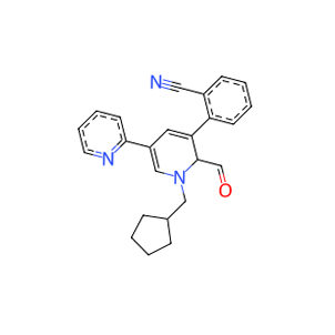 N#Cc1ccccc1C1=CC(c2ccccn2)=CN(CC2CCCC2)C1C=O